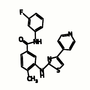 Cc1ccc(C(=O)Nc2cccc(F)c2)cc1Nc1nc(-c2ccncc2)cs1